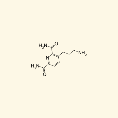 NCCCc1ccc(C(N)=O)nc1C(N)=O